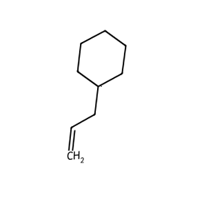 C=CC[C]1CCCCC1